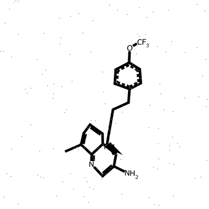 CC1=CC=CC23NC(CCc4ccc(OC(F)(F)F)cc4)=CC=C2C(N)=CN=C13